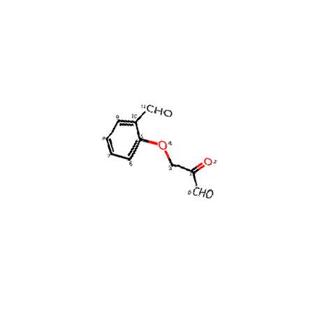 O=CC(=O)COc1ccccc1C=O